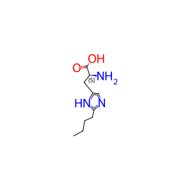 CCCCc1ncc(C[C@H](N)C(=O)O)[nH]1